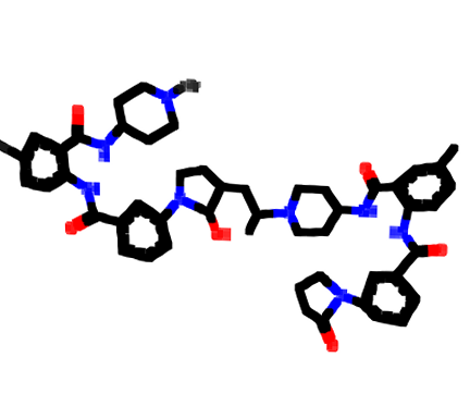 CCCN1CCC(NC(=O)c2cc(CC)ccc2NC(=O)c2cccc(N3CCC(CC(C)N4CCC(NC(=O)c5cc(C)ccc5NC(=O)c5cccc(N6CCCC6=O)c5)CC4)C3O)c2)CC1